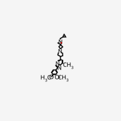 COc1ccc(-c2cn3cc(C4CCN(C5CC6(C5)CN(CC5CC5)C6)CC4)cc(C)c3n2)cc1OC